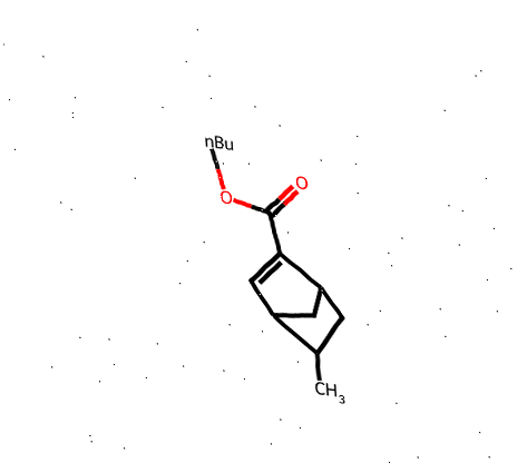 CCCCOC(=O)C1=CC2CC1CC2C